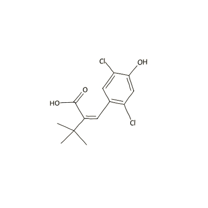 CC(C)(C)C(=Cc1cc(Cl)c(O)cc1Cl)C(=O)O